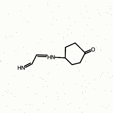 N=C/C=C\NC1CCC(=O)CC1